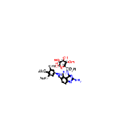 COc1cc(NCc2ccc3nc(N)nc(N)c3c2C)cc(OC)c1OC.O=C(O)[C@H]1O[C@@H](O)[C@H](O)[C@@H](O)[C@@H]1O